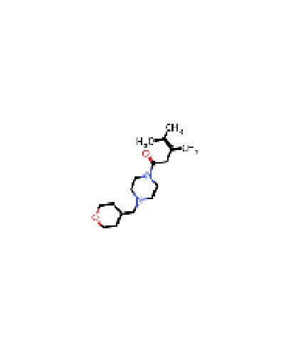 CC(C)=C(C)CC(=O)N1CCN(CC2CCOCC2)CC1